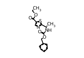 CCOC(=O)c1cnc([C@@H](C)NC(=O)OCc2ccccc2)s1